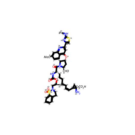 COc1ccc2c(O[C@@H]3C[C@@H](C=O)N(C(=O)[C@H](CCCCC/C=C\C4C[C@]4(N)C(=O)O)NC(=O)O[C@H](CN4CCc5ccccc5S4(=O)=O)C(C)(C)C)C3)cc(-c3csc(NC(C)C)n3)nc2c1